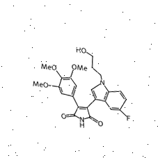 COc1cc(C2=C(c3cn(CCCO)c4ccc(F)cc34)C(=O)NC2=O)cc(OC)c1OC